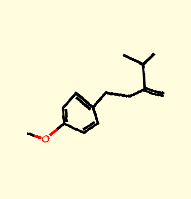 C=C(CCc1ccc(OC)cc1)C(C)C